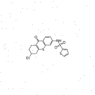 CCC1CCc2c(sc3cc(NS(=O)(=O)c4cccs4)ccc3c2=O)C1